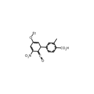 CCOC1=CC(c2ccc(C(=O)O)c(C)c2)C(=C=O)C([N+](=O)[O-])=C1